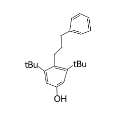 CC(C)(C)c1cc(O)cc(C(C)(C)C)c1CCCc1ccccc1